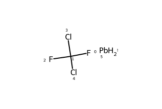 FC(F)(Cl)Cl.[PbH2]